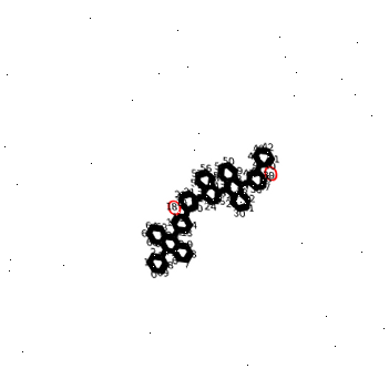 c1ccc(-c2c3ccccc3c(-c3ccc4c(c3)oc3ccc(-c5ccc(-c6c7ccccc7c(-c7ccc8oc9ccccc9c8c7)c7ccccc67)c6ccccc56)cc34)c3ccccc23)cc1